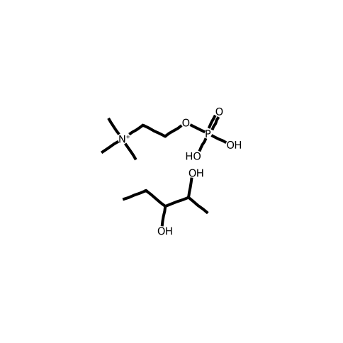 CCC(O)C(C)O.C[N+](C)(C)CCOP(=O)(O)O